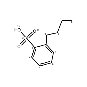 CCCCc1ccccc1S(=O)(=O)O